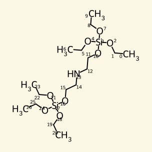 CCO[Si](OCC)(OCC)OCCNCCO[Si](OCC)(OCC)OCC